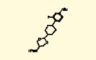 CCCCCC1COC(C2CCC(c3ccc(CCCC)cc3F)CC2)OC1